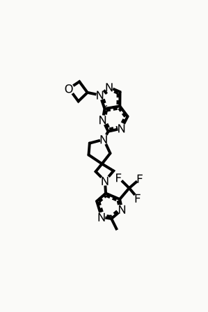 Cc1ncc(N2CC3(CCN(c4ncc5cnn(C6COC6)c5n4)C3)C2)c(C(F)(F)F)n1